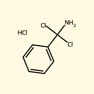 Cl.NC(Cl)(Cl)c1ccccc1